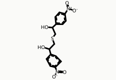 O=[N+]([O-])c1ccc(C(O)CSCC(O)c2ccc([N+](=O)[O-])cc2)cc1